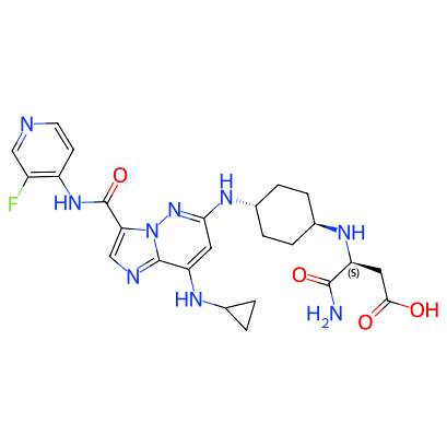 NC(=O)[C@H](CC(=O)O)N[C@H]1CC[C@H](Nc2cc(NC3CC3)c3ncc(C(=O)Nc4ccncc4F)n3n2)CC1